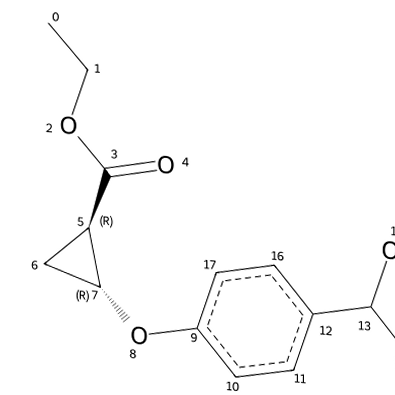 CCOC(=O)[C@@H]1C[C@H]1Oc1ccc(C(C)O)cc1